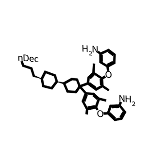 CCCCCCCCCCCCC[C@H]1CC[C@@H](C2CCC(c3cc(C)c(Oc4cccc(N)c4)c(C)c3)(c3cc(C)c(Oc4cccc(N)c4)c(C)c3)CC2)CC1